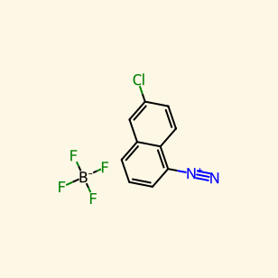 F[B-](F)(F)F.N#[N+]c1cccc2cc(Cl)ccc12